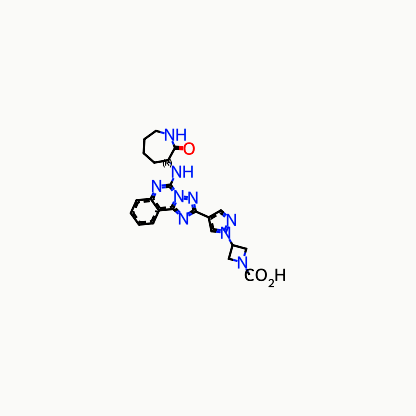 O=C1NCCCC[C@H]1Nc1nc2ccccc2c2nc(-c3cnn(C4CN(C(=O)O)C4)c3)nn12